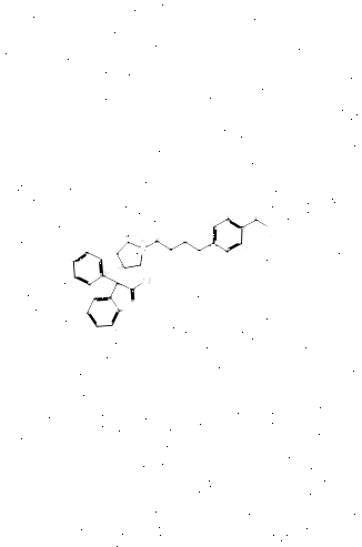 NC(=O)C(c1ccccc1)(c1ccccc1)[C@@H]1CCN(CCCCc2ccc(CC(=O)O)cc2)C1